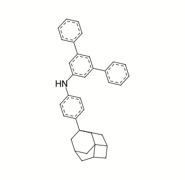 c1ccc(-c2cc(Nc3ccc(C45CC6CC7CC(C4)C7(C6)C5)cc3)cc(-c3ccccc3)c2)cc1